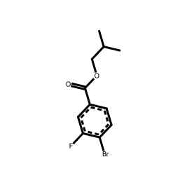 CC(C)COC(=O)c1ccc(Br)c(F)c1